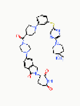 CC1(N)CCN(c2cnc(Sc3cccc(N4CCC(C(=O)N5CCN(c6ccc7c(c6)CN(C6CCC(=O)NC6=O)C7=O)CC5)CC4)c3)cn2)CC1